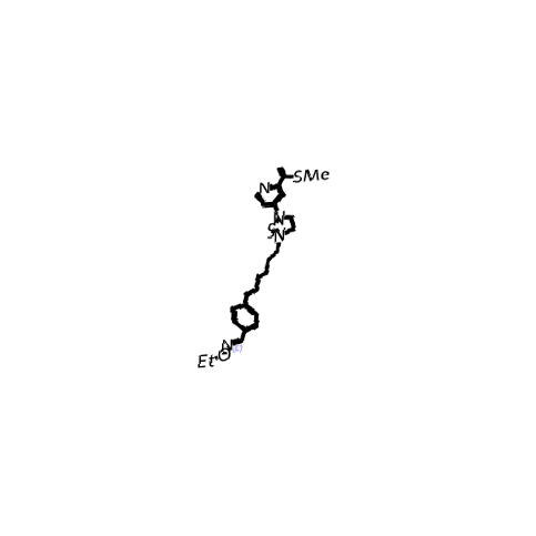 C=C(SC)c1cc(N2CCN(CCCCCCc3ccc(/C=N/OCC)cc3)S2)ccn1